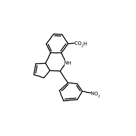 O=C(O)c1cccc2c1NC(c1cccc([N+](=O)[O-])c1)C1CC=CC21